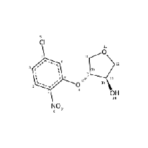 O=[N+]([O-])c1ccc(Cl)cc1O[C@@H]1COC[C@H]1O